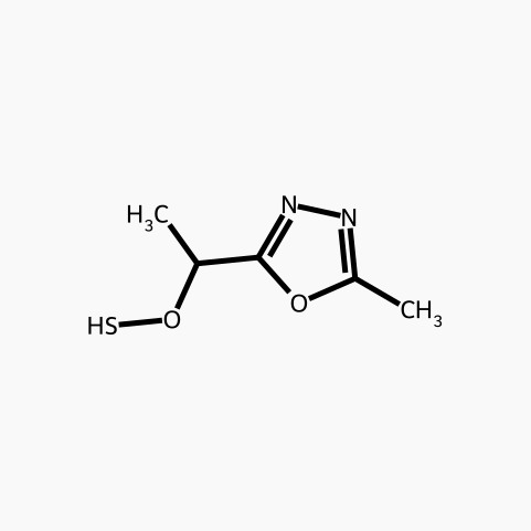 Cc1nnc(C(C)OS)o1